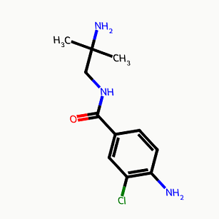 CC(C)(N)CNC(=O)c1ccc(N)c(Cl)c1